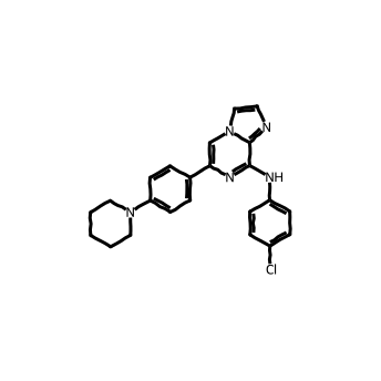 Clc1ccc(Nc2nc(-c3ccc(N4CCCCC4)cc3)cn3ccnc23)cc1